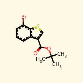 CC(C)(C)OC(=O)c1csc2c(Br)cccc12